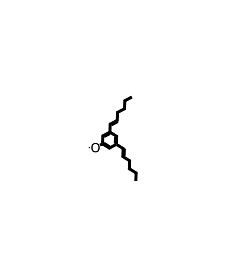 CCCCC=Cc1cc([O])cc(C=CCCCC)c1